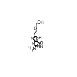 Nc1nc2nc(CCOCCO)[nH]c2c(=O)[nH]1